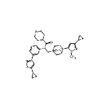 Cn1nc(C2CC2)cc1C12CCC(CN(C(=O)C3CCOCC3)c3cccc(-c4cc(C5CC5)on4)c3)(CC1)CC2